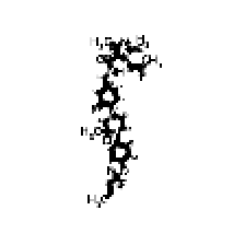 C/C=C/C(F)(F)Oc1ccc(N2CCN(c3ccc(CNC(=O)c4c(C)nc(C)n4/C=C(\C)F)cc3F)CC2(C)C)cc1